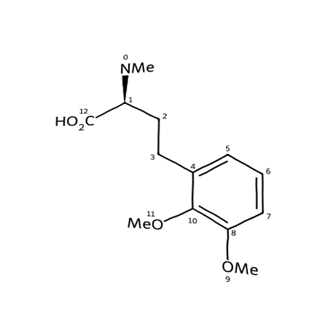 CN[C@@H](CCc1cccc(OC)c1OC)C(=O)O